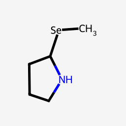 C[Se]C1CCCN1